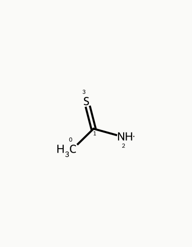 CC([NH])=S